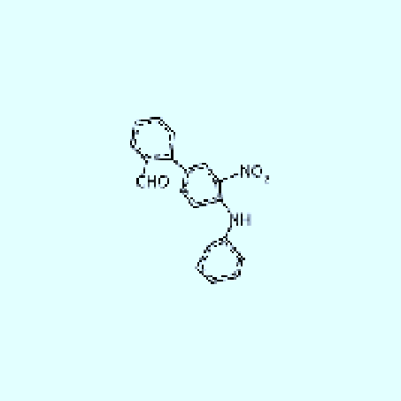 O=Cc1ccccc1-c1ccc(Nc2ccccc2)c([N+](=O)[O-])c1